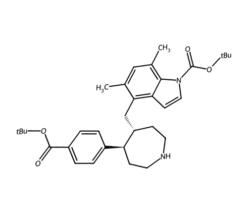 Cc1cc(C)c2c(ccn2C(=O)OC(C)(C)C)c1C[C@@H]1CCNCC[C@H]1c1ccc(C(=O)OC(C)(C)C)cc1